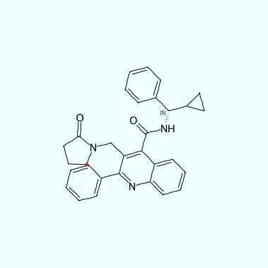 O=C(N[C@H](c1ccccc1)C1CC1)c1c(CN2CCCC2=O)c(-c2ccccc2)nc2ccccc12